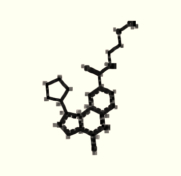 COCCNC(=O)c1ccc2[nH]c(=O)c3cnc(C4CCCC4)n3c2c1